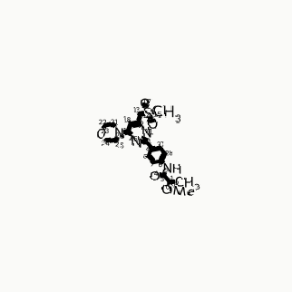 CO[C@H](C)C(=O)Nc1ccc(-c2nc(CS(C)(=O)=O)cc(N3CCOCC3)n2)cc1